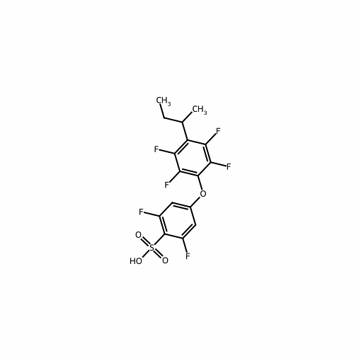 CCC(C)c1c(F)c(F)c(Oc2cc(F)c(S(=O)(=O)O)c(F)c2)c(F)c1F